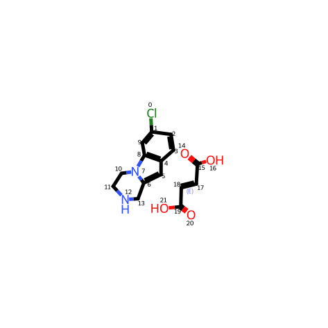 Clc1ccc2cc3n(c2c1)CCNC3.O=C(O)/C=C/C(=O)O